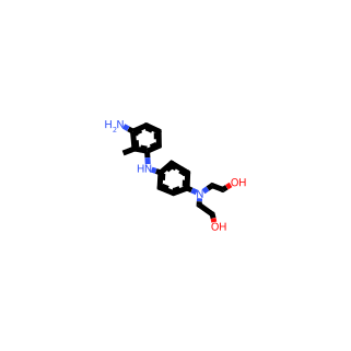 Cc1c(N)cccc1Nc1ccc(N(CCO)CCO)cc1